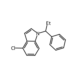 [CH2]CC(c1ccccc1)n1ccc2c(Cl)cccc21